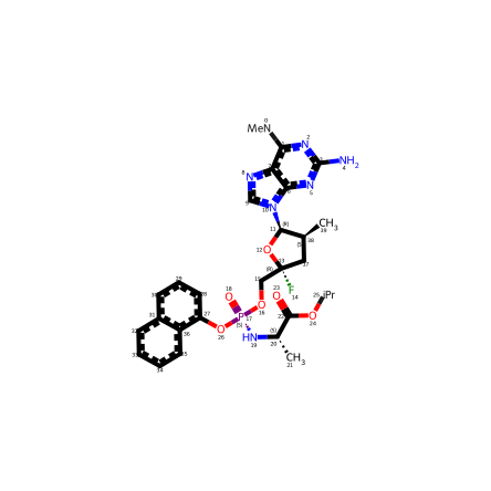 CNc1nc(N)nc2c1ncn2[C@@H]1O[C@](F)(CO[P@@](=O)(N[C@@H](C)C(=O)OC(C)C)Oc2cccc3ccccc23)C[C@@H]1C